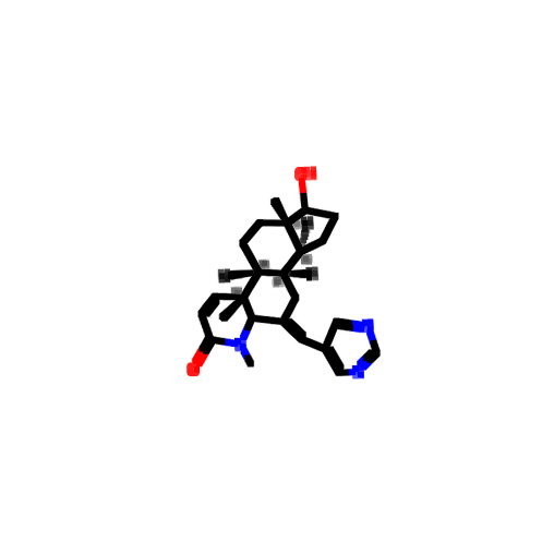 CN1C(=O)C=C[C@@]2(C)C1C(=Cc1cncnc1)C[C@@H]1[C@H]2CC[C@]2(C)C(O)CC[C@@H]12